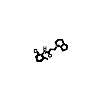 Cc1cccc(Cl)c1NC(=O)CCN1CCCC2CCCC21